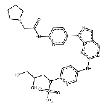 CS(=O)(=O)N(CC(O)CO)c1ccc(Nc2ncc3cnn(-c4ccc(NC(=O)CN5CCCC5)nc4)c3n2)cn1